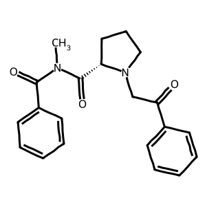 CN(C(=O)c1ccccc1)C(=O)[C@@H]1CCCN1CC(=O)c1ccccc1